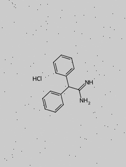 Cl.N=C(N)C(c1ccccc1)c1ccccc1